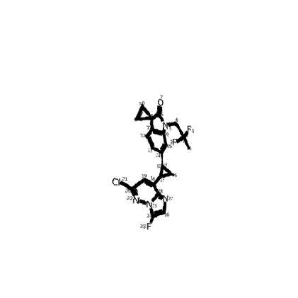 CC(F)(F)CN1C(=O)C2(CC2)c2ccc([C@H]3CC3c3cc(Cl)nn4c(F)cnc34)cc21